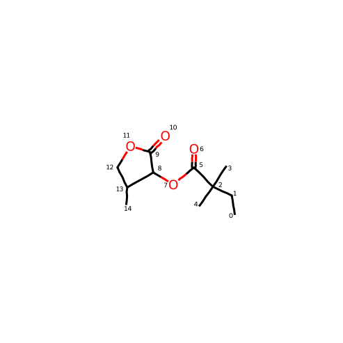 CCC(C)(C)C(=O)OC1C(=O)OCC1C